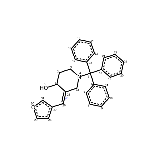 OC1CCN(C(c2ccccc2)(c2ccccc2)c2ccccc2)C/C1=C/c1ccoc1